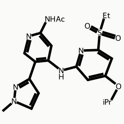 CCS(=O)(=O)c1cc(OC(C)C)cc(Nc2cc(NC(C)=O)ncc2-c2ccn(C)n2)n1